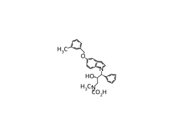 Cc1cccc(COc2ccc3c(ccn3[C@@H](c3ccccc3)[C@H](O)CN(C)C(=O)O)c2)c1